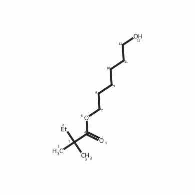 CCC(C)(C)C(=O)OCCCCCCO